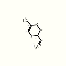 C=CC1CC=C(O)CC1